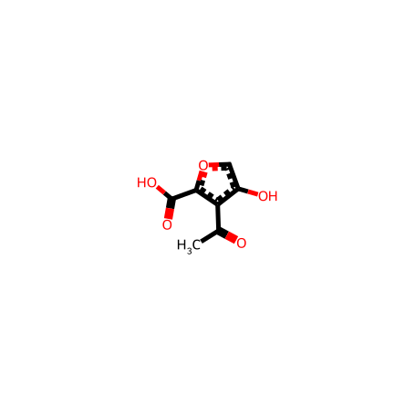 CC(=O)c1c(O)coc1C(=O)O